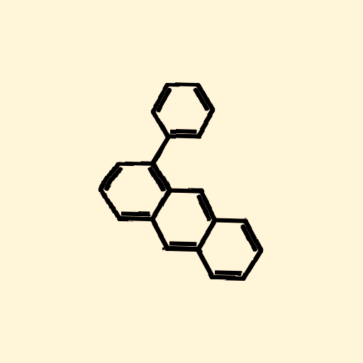 [c]1c2ccccc2cc2c(-c3ccccc3)cccc12